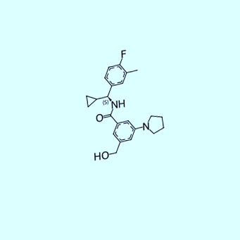 Cc1cc([C@@H](NC(=O)c2cc(CO)cc(N3CCCC3)c2)C2CC2)ccc1F